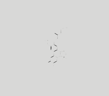 C=C(CCC#N)COc1cc2c(cc1COC)-c1cc(=O)c(C(=O)O)cn1N1[C@@H]2CCC1(C)C